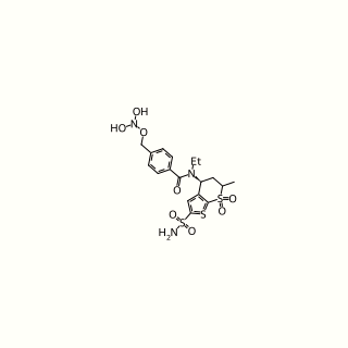 CCN(C(=O)c1ccc(CON(O)O)cc1)[C@H]1CC(C)S(=O)(=O)c2sc(S(N)(=O)=O)cc21